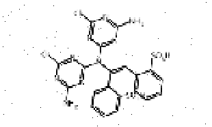 Nc1nc(Cl)nc(N(C(=Cc2ccccc2S(=O)(=O)O)c2ccccc2S(=O)(=O)O)c2nc(N)nc(Cl)n2)n1